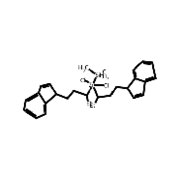 CC[CH](CCC1C=Cc2ccccc21)[Zr]([Cl])([Cl])([CH](CC)CCC1C=Cc2ccccc21)[SiH](C)C